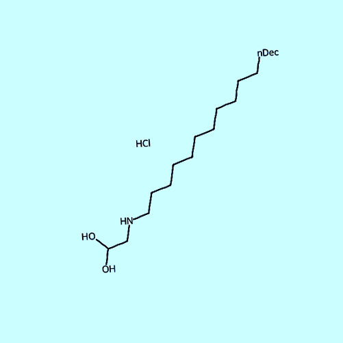 CCCCCCCCCCCCCCCCCCCCCNCC(O)O.Cl